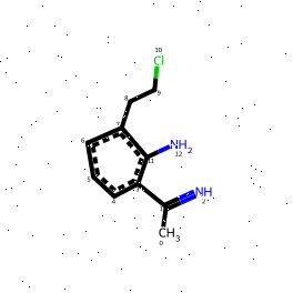 CC(=N)c1cccc(CCCl)c1N